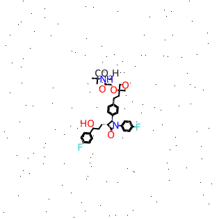 CC(C)(NC(=O)COC1(CCc2ccc([C@@H]3[C@@H](CC[C@H](O)c4ccc(F)cc4)C(=O)N3c3ccc(F)cc3)cc2)COC1)C(=O)O